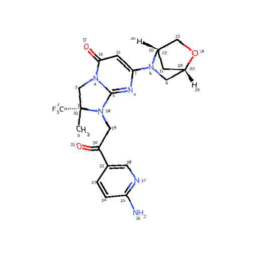 C[C@@]1(C(F)(F)F)Cn2c(nc(N3C[C@@H]4C[C@H]3CO4)cc2=O)N1CC(=O)c1ccc(N)nc1